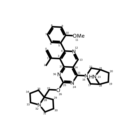 C=C(C)c1c(-c2ccccc2OC)ncc2c(N3CC4CCC(C3)N4)nc(OCC34CCCN3CCC4)nc12